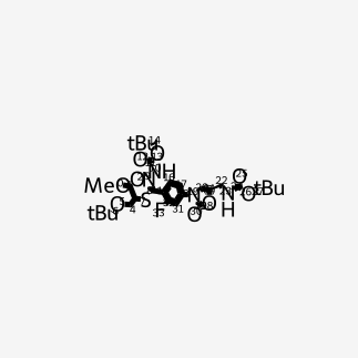 COC(=O)C(COC(C)(C)C)SC(=NNC(=O)OC(C)(C)C)c1ccc(N2C[C@@H](CNC(=O)OC(C)(C)C)OC2=O)cc1F